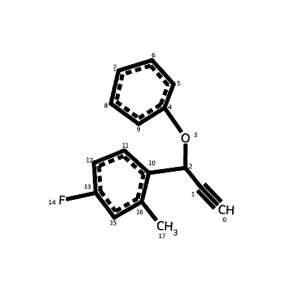 C#CC(Oc1cc[c]cc1)c1ccc(F)cc1C